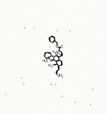 C=c1c2c(cc/c1=C/C=C\C)C(/C=C\C(C)C(=O)OCc1ccccc1)=C(C)N1C2=N[C@@]2(C)CC=CC=CC12